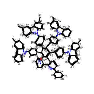 Cc1ccc2c(c1)c1ccccc1n2-c1ccc(-c2c(C#N)c(-c3ccc(-c4ccccc4)nc3-c3ccccc3)c(-c3ccc(-n4c5ccccc5c5cc(C)ccc54)cc3)c(-c3ccc(-n4c5ccccc5c5cc(C)ccc54)cc3)c2-c2ccc(-n3c4ccc(C)cc4c4cc(C)ccc43)cc2)cc1